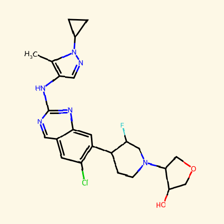 Cc1c(Nc2ncc3cc(Cl)c(C4CCN(C5COCC5O)CC4F)cc3n2)cnn1C1CC1